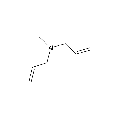 C=C[CH2][Al]([CH3])[CH2]C=C